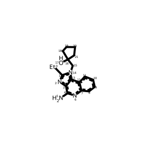 CCc1nc2c(N)nc3ccccc3c2n1CC1(O)CCCC1